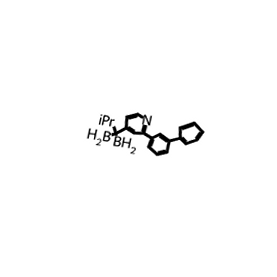 BC(B)(c1ccnc(-c2cccc(-c3ccccc3)c2)c1)C(C)C